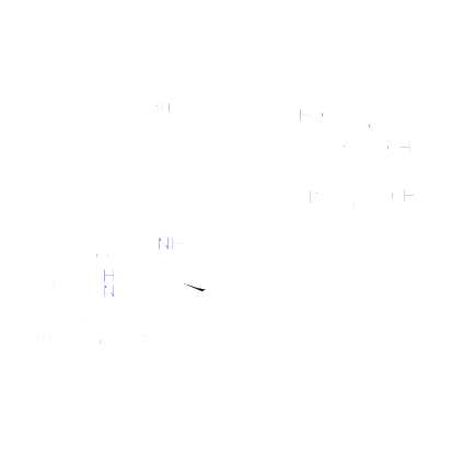 CC(C)(C)c1ccc(C(=O)N[C@@H](Cc2ccc(B3OC(C)(C)C(C)(C)O3)cc2)C(=O)NS(C)(=O)=O)s1